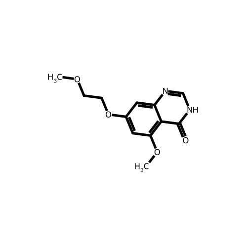 COCCOc1cc(OC)c2c(=O)[nH]cnc2c1